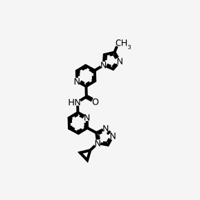 Cc1cn(-c2ccnc(C(=O)Nc3cccc(-c4nncn4C4CC4)n3)c2)cn1